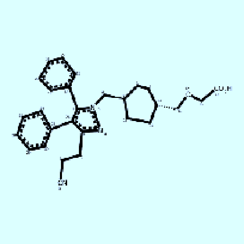 N#CCCc1nn(C[C@H]2CC[C@H](COCC(=O)O)CC2)c(-c2ccccc2)c1-c1ccccc1